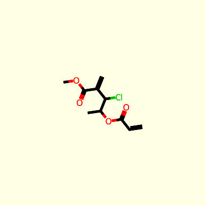 C=CC(=O)OC(C)C(Cl)C(=C)C(=O)OC